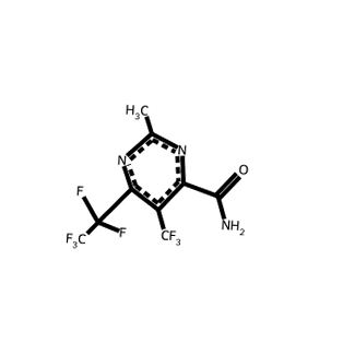 Cc1nc(C(N)=O)c(C(F)(F)F)c(C(F)(F)C(F)(F)F)n1